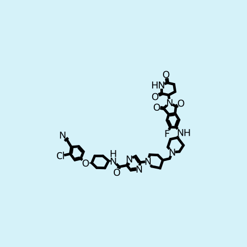 N#Cc1ccc(O[C@H]2CC[C@H](NC(=O)c3cnc(N4CCC(CN5CCC(Nc6cc7c(cc6F)C(=O)N(C6CCC(=O)NC6=O)C7=O)CC5)CC4)cn3)CC2)cc1Cl